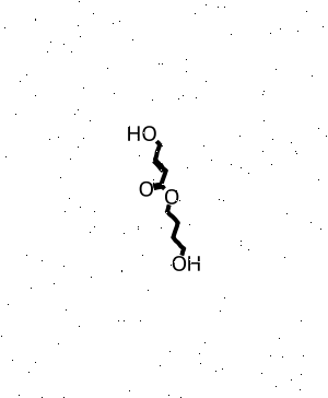 O=C(C=CCO)OCCCCO